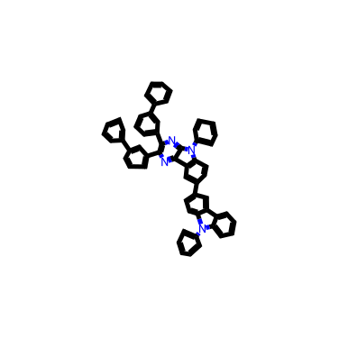 c1ccc(-c2cccc(-c3nc4c5cc(-c6ccc7c(c6)c6ccccc6n7-c6ccccc6)ccc5n(-c5ccccc5)c4nc3-c3cccc(-c4ccccc4)c3)c2)cc1